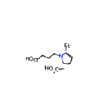 CC(=O)O.CCCCCCCCCCCN1CCC=C1CC